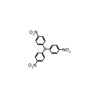 O=[N+]([O-])c1ccc(B(c2ccc([N+](=O)[O-])cc2)c2ccc([N+](=O)[O-])cc2)cc1